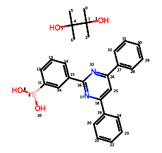 CC(C)(O)C(C)(C)O.OB(O)c1cccc(-c2nc(-c3ccccc3)cc(-c3ccccc3)n2)c1